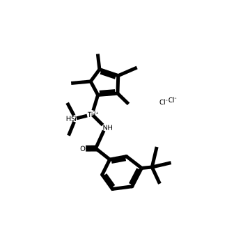 CC1=C(C)C(C)[C]([Ti+2]([NH]C(=O)c2cccc(C(C)(C)C)c2)[SiH](C)C)=C1C.[Cl-].[Cl-]